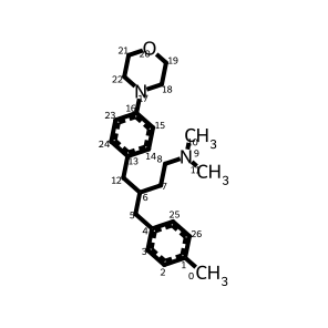 Cc1ccc(CC(CCN(C)C)Cc2ccc(N3CCOCC3)cc2)cc1